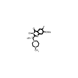 CCC[C@H](c1nc2cc(OC)c(F)cc2c(=O)n1CC)N1CCCN(C)CC1